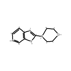 c1cc2nc(N3CCOCC3)sc2cn1